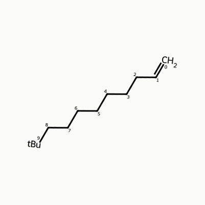 C=CCCCCCCCC(C)(C)C